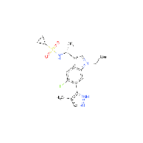 Cc1cn[nH]c1-c1cc2c(cc1F)c([C@H](NS(=O)(=O)C1CC1)C(F)(F)F)cn2CC(C)(C)C